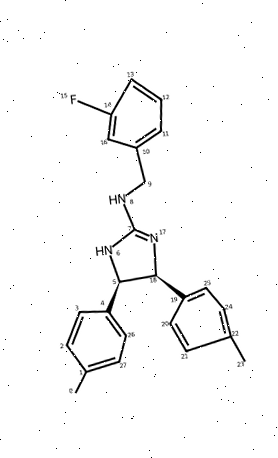 Cc1ccc([C@H]2NC(NCc3cccc(F)c3)=N[C@H]2c2ccc(C)cc2)cc1